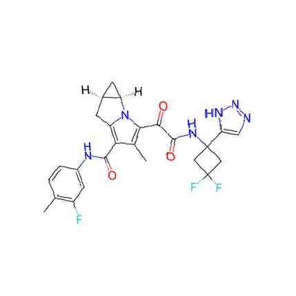 Cc1ccc(NC(=O)c2c(C)c(C(=O)C(=O)NC3(c4cnn[nH]4)CC(F)(F)C3)n3c2C[C@H]2C[C@H]23)cc1F